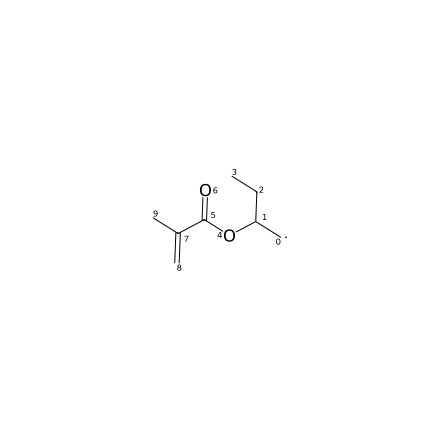 [CH2]C(CC)OC(=O)C(=C)C